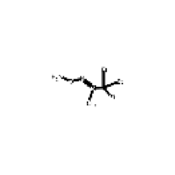 CCC(CC)(CC)/[Si](C)=N/ON